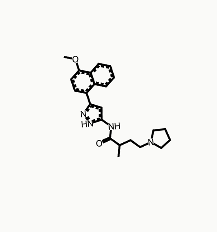 COc1ccc(-c2cc(NC(=O)C(C)CCN3CCCC3)[nH]n2)c2ccccc12